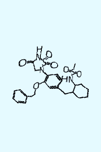 CS(=O)(=O)NC1CCCCC1Cc1ccc(N2CC(=O)NS2(=O)=O)c(OCc2ccccc2)c1